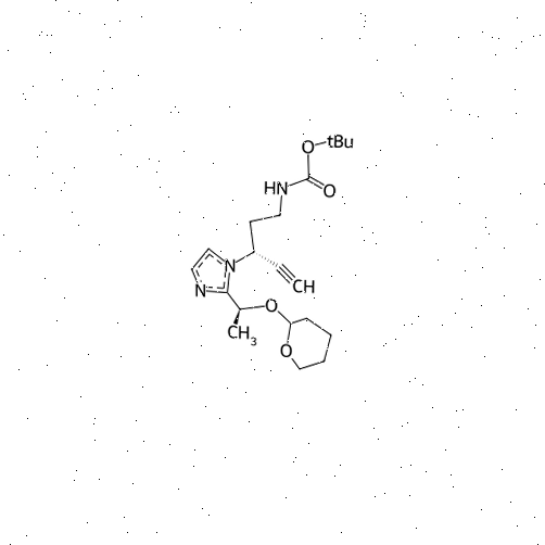 C#C[C@@H](CCNC(=O)OC(C)(C)C)n1ccnc1[C@H](C)OC1CCCCO1